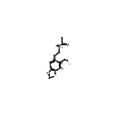 CC(=O)NCCc1cc2c(cc1CCl)OCO2